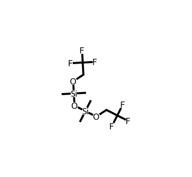 C[Si](C)(OCC(F)(F)F)O[Si](C)(C)OCC(F)(F)F